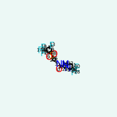 O=C(NC[C@H]1C[C@H](S(=O)(=O)c2cc(F)cc(C(F)(F)F)c2)C1)C1CN2C=C(C(F)(F)F)C=CC2=N1